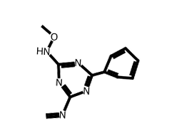 C=Nc1nc(NOC)nc(-c2ccccc2)n1